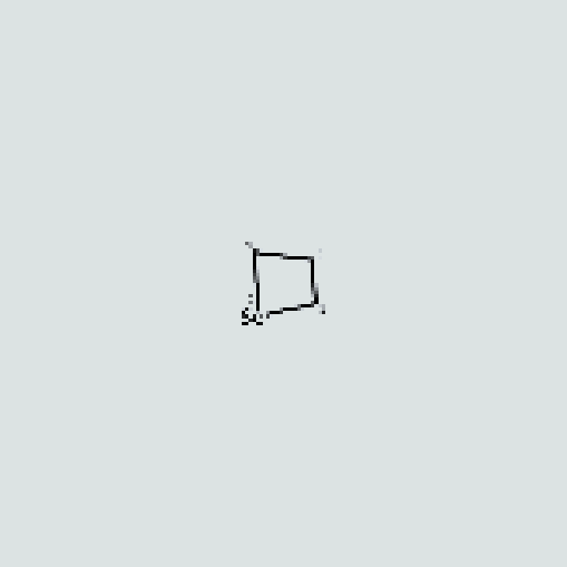 C1C[Se]C1